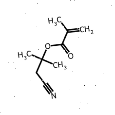 C=C(C)C(=O)OC(C)(C)CC#N